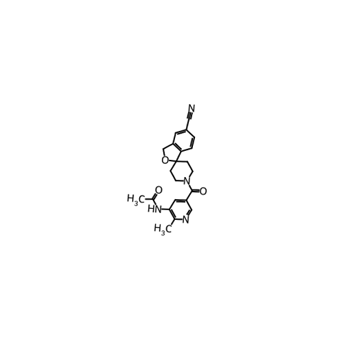 CC(=O)Nc1cc(C(=O)N2CCC3(CC2)OCc2cc(C#N)ccc23)cnc1C